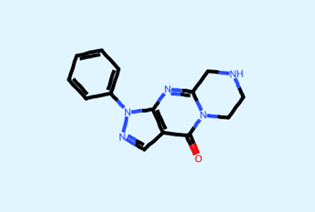 O=c1c2cnn(-c3ccccc3)c2nc2n1CCNC2